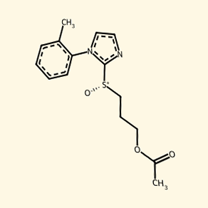 CC(=O)OCCC[S@+]([O-])c1nccn1-c1ccccc1C